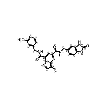 Cc1nccc(CNC(=O)c2cc(C(=O)NCc3ccc4oc(=O)[nH]c4c3)nc3c(F)cnn23)n1